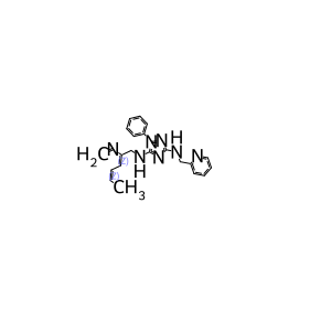 C=N/C(=C\C=C/C)CNc1nc(NCc2ccccn2)nn1-c1ccccc1